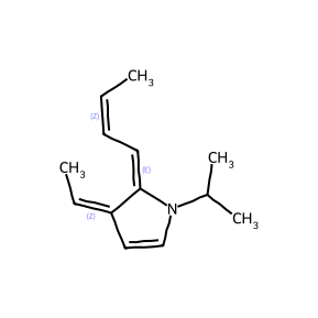 C\C=C/C=c1\c(=C/C)ccn1C(C)C